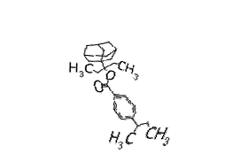 CCC(C)c1ccc(C(=O)OC(CC)(CC)C23CC4CC(CC(C4)C2)C3)cc1